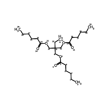 CCCCCC(=O)OCC(CC)(COC(=O)CCCCC)COC(=O)CCCCC